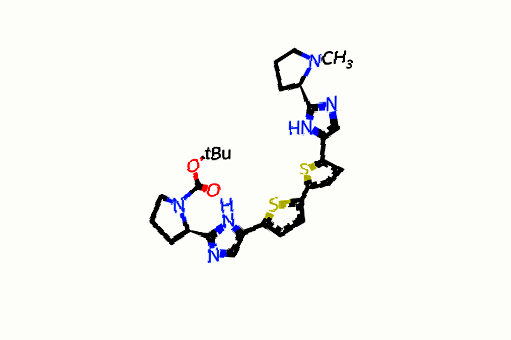 CN1CCC[C@@H]1c1ncc(-c2ccc(-c3ccc(-c4cnc([C@H]5CCCN5C(=O)OC(C)(C)C)[nH]4)s3)s2)[nH]1